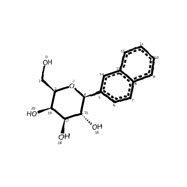 OC[C@H]1O[C@@H](c2ccc3c[c]ccc3c2)[C@H](O)[C@@H](O)[C@H]1O